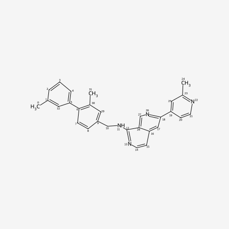 Cc1cccc(-c2ccc(CNc3nccc4cc(-c5ccnc(C)c5)ncc34)cc2C)c1